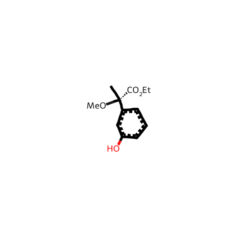 CCOC(=O)[C@@](C)(OC)c1cccc(O)c1